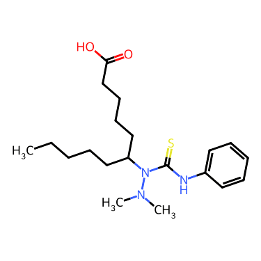 CCCCCC(CCCCC(=O)O)N(C(=S)Nc1ccccc1)N(C)C